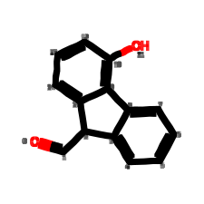 O=CC1c2ccccc2-c2c(O)cccc21